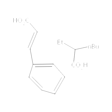 CCCCC(CC)C(=O)O.O=C(O)C=Cc1ccccc1